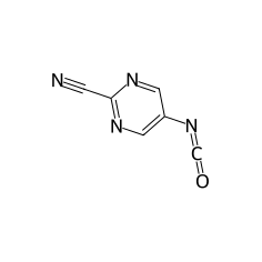 N#Cc1ncc(N=C=O)cn1